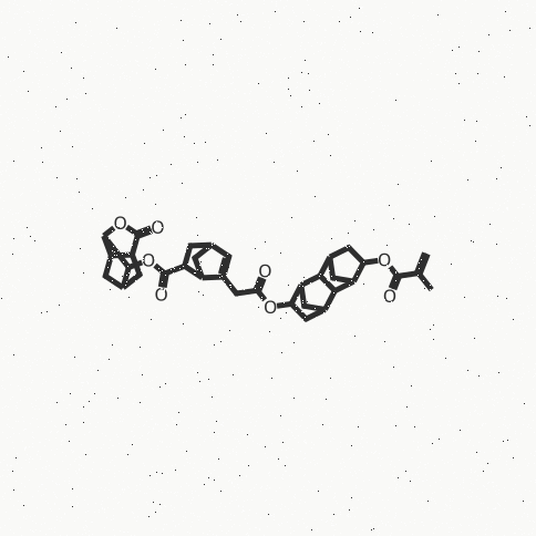 C=C(C)C(=O)OC1CC2CC1C1C3CC(OC(=O)CC4=CC5CC(C(=O)OC6C7CC8C(=O)OC6C8C7)C4C5)C(C3)C21